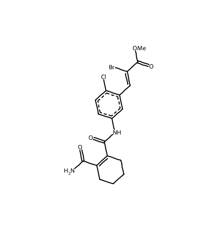 COC(=O)/C(Br)=C/c1cc(NC(=O)C2=C(C(N)=O)CCCC2)ccc1Cl